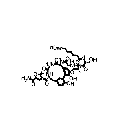 CCCCCCCCCCCCCCCC(=O)N(C)[C@H](CO)C(=O)N[C@H](C)C(=O)NCC(=O)N(C)[C@@H]1C(=O)N[C@@H](C)C(=O)N[C@H](C(=O)NCC(O)C(N)=O)Cc2ccc(O)c(c2)-c2cc1ccc2O